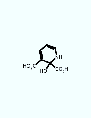 O=C(O)C1=CC=CNC1(O)C(=O)O